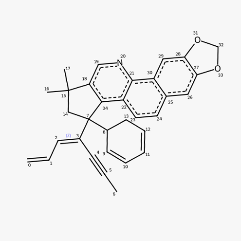 C=C/C=C(\C#CC)C1(C2C=CC=CC2)CC(C)(C)c2cnc3c(ccc4cc5c(cc43)OCO5)c21